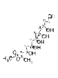 CC(=O)OC(C)CC(O)CC(O)CC(O)CC(O)CC(O)CCO